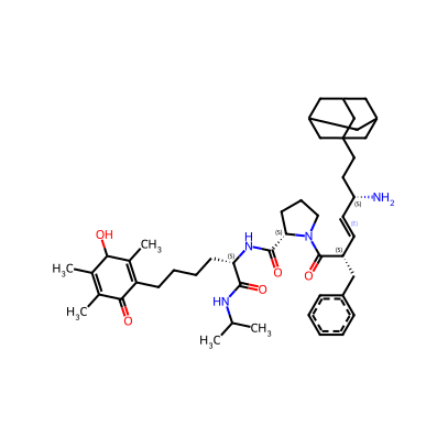 CC1=C(C)C(O)C(C)=C(CCCC[C@H](NC(=O)[C@@H]2CCCN2C(=O)[C@H](/C=C/[C@@H](N)CCC23CC4CC(CC(C4)C2)C3)Cc2ccccc2)C(=O)NC(C)C)C1=O